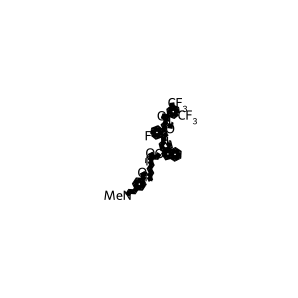 CNCCc1ccc(C(=O)N(C)CCCN(C)C(=O)CO[C@H]2Cc3ccccc3C23CCN(CC[C@@]2(c4ccc(F)cc4)CN(C(=O)c4cc(C(F)(F)F)cc(C(F)(F)F)c4)CO2)CC3)cc1